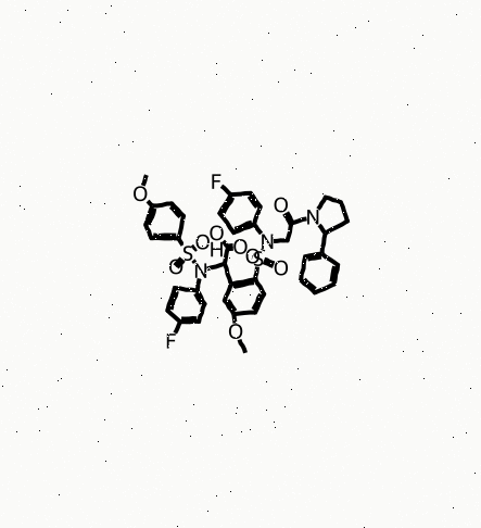 COc1ccc(S(=O)(=O)N(c2ccc(F)cc2)C(C(=O)O)c2cc(OC)ccc2S(=O)(=O)N(CC(=O)N2CCCC2c2ccccc2)c2ccc(F)cc2)cc1